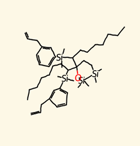 C=CCc1cccc([Si](C)(C)C(CCCCCCC)C2(C(CCCCCCC)[Si](C)(C)c3cccc(CC=C)c3)CC[Si](C)(C)[Si](C)(C)O2)c1